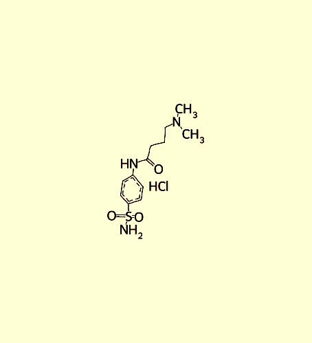 CN(C)CCCC(=O)Nc1ccc(S(N)(=O)=O)cc1.Cl